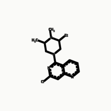 CCC1CN(c2nc(Cl)cc3ncccc23)CC(C)N1C